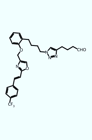 O=CCCCc1cn(CCCCc2ccccc2OCc2coc(C=Cc3ccc(C(F)(F)F)cc3)n2)nn1